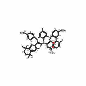 Cc1cc2c3c(c1)N(c1ccc(C(C)(C)C)cc1)c1c(sc4cc5c(cc14)C(C)(C)CCC5(C)C)B3c1cc(C(C)(C)C)ccc1N2c1ccc(C(C)(C)C)cc1-c1ccccc1F